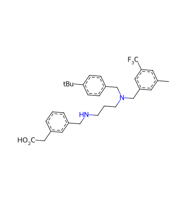 Cc1cc(CN(CCCNCc2cccc(CC(=O)O)c2)Cc2ccc(C(C)(C)C)cc2)cc(C(F)(F)F)c1